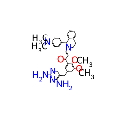 COc1cc(Cc2cnc(N)nc2N)cc(C(=O)/C=C/N2CCc3ccccc3C2c2ccc(N(C)C)cc2)c1OC